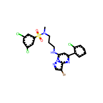 CN(CCCNc1cc(-c2ccccc2Cl)nc2c(Br)cnn12)S(=O)(=O)c1cc(Cl)cc(Cl)c1